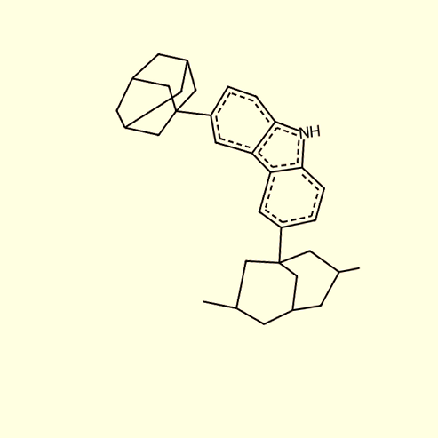 CC1CC2CC(C)CC(c3ccc4[nH]c5ccc(C67CC8CC(CC(C8)C6)C7)cc5c4c3)(C1)C2